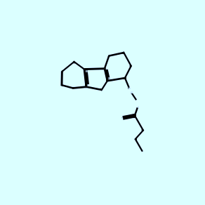 CCCC(=O)[O][Ti+2][CH]1CCCC2=C1CC1=C2CCCC1.[Cl-].[Cl-]